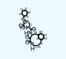 CC(C)CC(NC(=O)OCc1ccccc1)C(=O)NC1Cc2cccc(c2)CCCNC(=O)C1=O